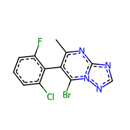 Cc1nc2ncnn2c(Br)c1-c1c(F)cccc1Cl